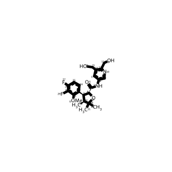 COc1c([C@H]2[C@H](C(=O)Nc3cnc(CO)c(CO)c3)OC(C)(C)[C@H]2C)ccc(F)c1F